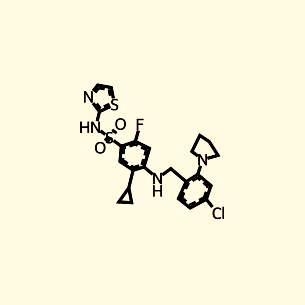 O=S(=O)(Nc1nccs1)c1cc(C2CC2)c(NCc2ccc(Cl)cc2N2CCCC2)cc1F